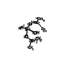 CCC[Si](O)(O[SiH](C)C)O[SiH](C)C